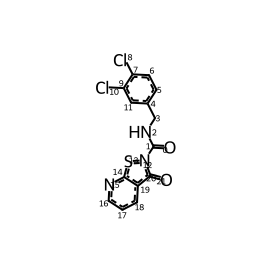 O=C(NCc1ccc(Cl)c(Cl)c1)n1sc2ncccc2c1=O